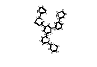 c1ccc(-c2cccc(-c3cc(-c4cccc(-c5ccccn5)n4)cc(-c4cccc(-c5ccccn5)n4)c3)n2)nc1